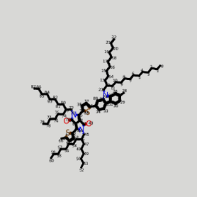 CCCCCCCCCCCCC(CCCCCCCCCC)Cn1c2cc(C)ccc2c2ccc(-c3ccc(C4=C5C(=O)N(CC(CCCCCC)CCCCCCCC)C(c6ccc(C)s6)=C5C(=O)N4CC(CCCCCC)CCCCCCCC)s3)cc21